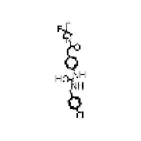 O=C(CC1C=CC(NC(O)NCc2ccc(Cl)cc2)=CC1)N1CC(F)(F)C1